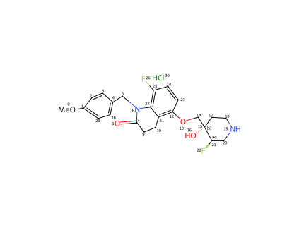 COc1ccc(CN2C(=O)CCc3c(OC[C@@]4(O)CCNC[C@H]4F)ccc(F)c32)cc1.Cl